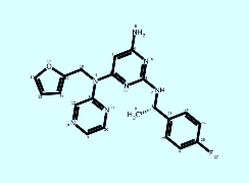 C[C@H](Nc1nc(N)cc(N(Cc2ccco2)c2cnccn2)n1)c1ccc(F)cc1